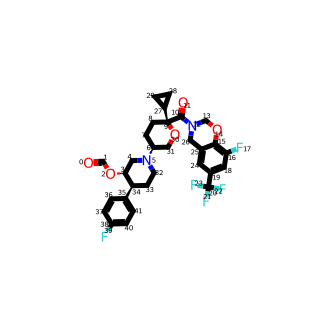 O=CO[C@@H]1CN([C@@H]2CC[C@@](C(=O)N3COc4c(F)cc(C(F)(F)F)cc4C3)(C3CC3)OC2)CC[C@H]1c1ccc(F)cc1